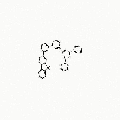 CN1C(c2ccccc2)=NC(c2cccc(-c3cccc(C4=CC5C(CC4)c4ccccc4C5(C)C)c3)c2)=NC1c1ccccc1